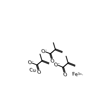 C=C(C)C(=O)[O-].C=C(C)C(=O)[O-].C=C(C)C(=O)[O-].[Cu].[Fe+3]